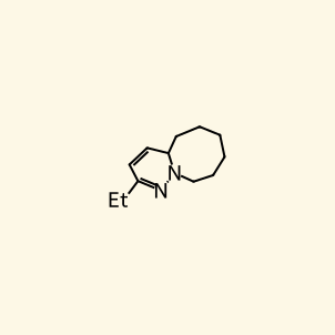 CCC1=NN2CCCCCCC2C=C1